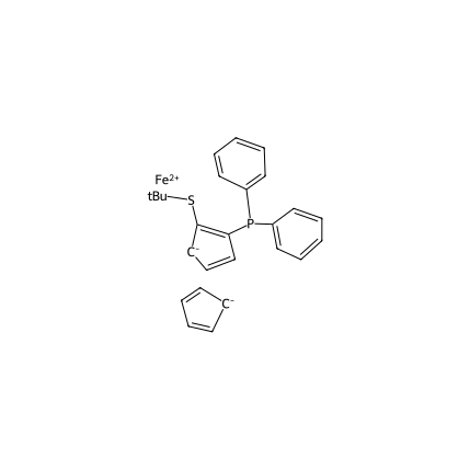 CC(C)(C)Sc1[cH-]ccc1P(c1ccccc1)c1ccccc1.[Fe+2].c1cc[cH-]c1